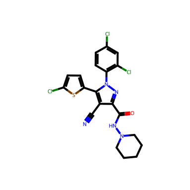 N#Cc1c(C(=O)NN2CCCCC2)nn(-c2ccc(Cl)cc2Cl)c1-c1ccc(Cl)s1